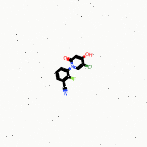 N#Cc1cccc(-n2cc(Cl)c(O)cc2=O)c1F